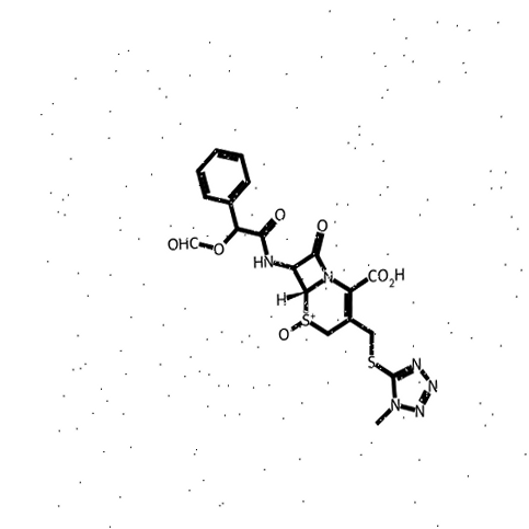 Cn1nnnc1SCC1=C(C(=O)O)N2C(=O)C(NC(=O)C(OC=O)c3ccccc3)[C@H]2[S+]([O-])C1